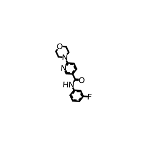 O=C(Nc1cccc(F)c1)c1ccc(N2CCOCC2)nc1